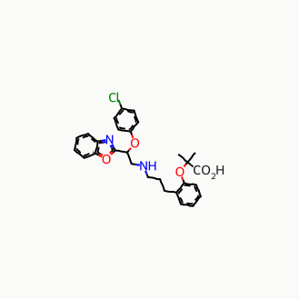 CC(C)(Oc1ccccc1CCCNCC(Oc1ccc(Cl)cc1)c1nc2ccccc2o1)C(=O)O